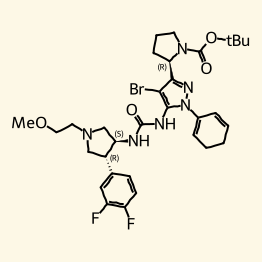 COCCN1C[C@@H](NC(=O)Nc2c(Br)c([C@H]3CCCN3C(=O)OC(C)(C)C)nn2C2=CCCC=C2)[C@H](c2ccc(F)c(F)c2)C1